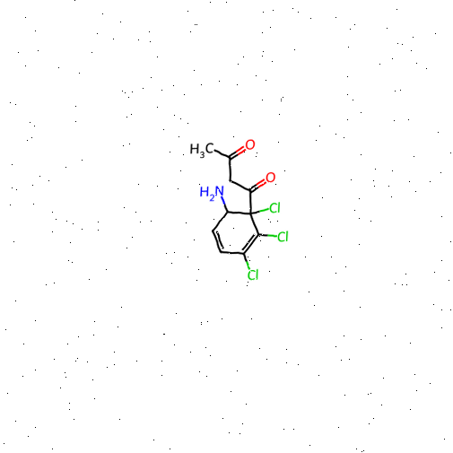 CC(=O)CC(=O)C1(Cl)C(Cl)=C(Cl)C=CC1N